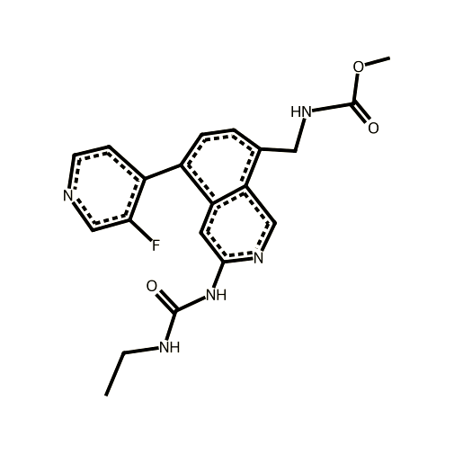 CCNC(=O)Nc1cc2c(-c3ccncc3F)ccc(CNC(=O)OC)c2cn1